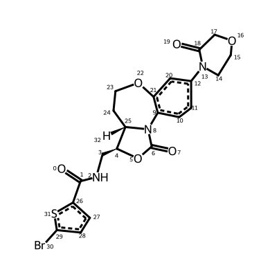 O=C(NC[C@@H]1OC(=O)N2c3ccc(N4CCOCC4=O)cc3OCC[C@@H]12)c1ccc(Br)s1